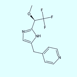 CO[C@H](c1ncc(Cc2ccncc2)[nH]1)C(F)(F)F